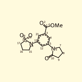 COC(=O)c1cc(N2CCCC2=O)cc(N2CCCS2(=O)=O)c1